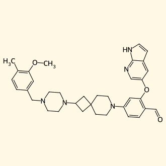 COc1cc(CN2CCN(C3CC4(CCN(c5ccc(C=O)c(Oc6cnc7[nH]ccc7c6)c5)CC4)C3)CC2)ccc1C